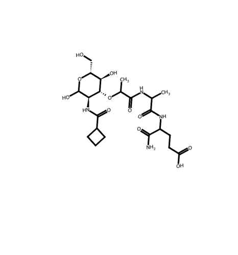 CC(NC(=O)C(C)O[C@H]1[C@H](O)[C@@H](CO)OC(O)[C@@H]1NC(=O)C1CCC1)C(=O)NC(CCC(=O)O)C(N)=O